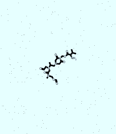 CC(C)C(N)C(=O)OCN1C(=O)CN(CC(C)N(CC=O)CC(=O)N(C)COC=O)CC1=O